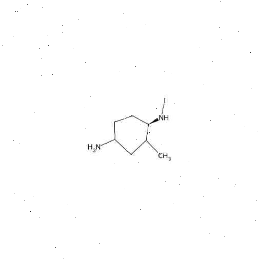 CC1CC(N)CC[C@H]1NI